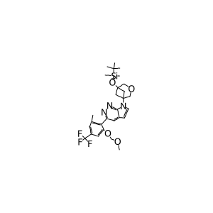 COCOc1cc(C(F)(F)F)cc(C)c1-c1cc2ccn(C34COCC(O[Si](C)(C)C(C)(C)C)(C3)C4)c2nn1